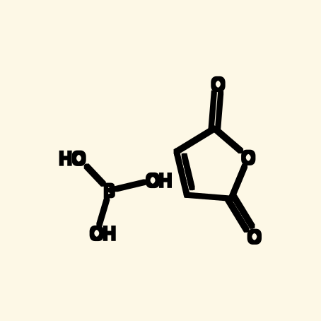 O=C1C=CC(=O)O1.OB(O)O